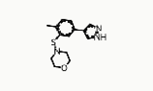 Cc1ccc(-c2cn[nH]c2)cc1SN1CCOCC1